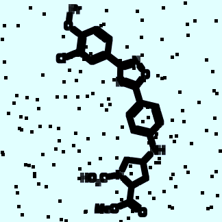 COC(=O)C1CC(Nc2ccc(-c3nc(-c4ccc(OC(C)C)c(Cl)c4)no3)cc2)CN1C(=O)O